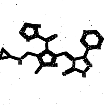 Cc1[nH]c(C=C2C(=O)NN=C2c2cnccn2)c(C(=O)c2ncc[nH]2)c1CNC1CC1